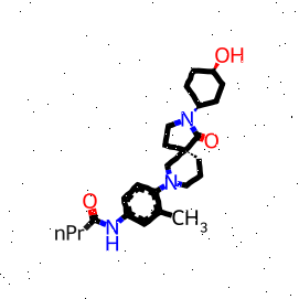 CCCC(=O)Nc1ccc(N2CCC[C@@]3(CCN([C@H]4CC[C@H](O)CC4)C3=O)C2)c(C)c1